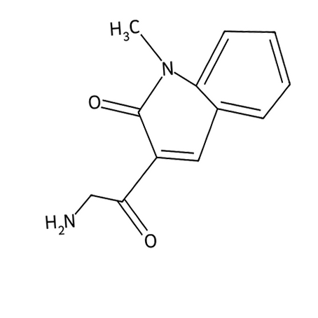 Cn1c(=O)c(C(=O)CN)cc2ccccc21